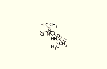 CCC(CC)n1c(Cc2cccs2)nc2cc(C(=O)N[C@@H](CC(C)C)C(=O)NC3CCC3)ccc21